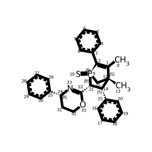 CC1=C(c2ccccc2)[P@@]2(=S)C[C@@]1(C)[C@H](c1ccccc1)[C@@H]2C1=N[C@@H](c2ccccc2)CCO1